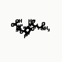 NC(=O)CCC1Oc2cc(F)c(OC3CN(C(=O)O)C3)cc2NC1=O